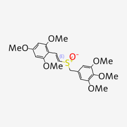 COc1cc(OC)c(/C=C/[S+]([O-])Cc2cc(OC)c(OC)c(OC)c2)c(OC)c1